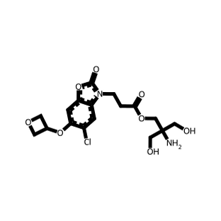 NC(CO)(CO)COC(=O)CCn1c(=O)oc2cc(OC3COC3)c(Cl)cc21